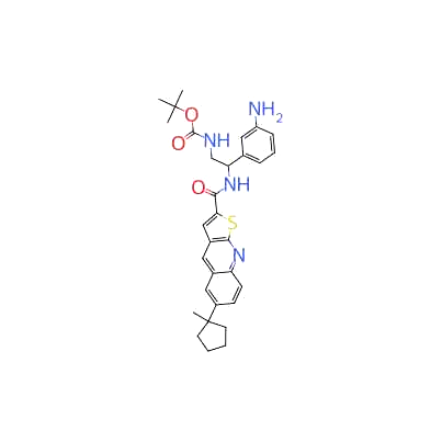 CC(C)(C)OC(=O)NCC(NC(=O)c1cc2cc3cc(C4(C)CCCC4)ccc3nc2s1)c1cccc(N)c1